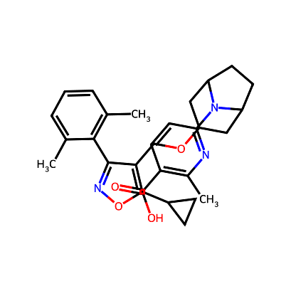 Cc1cccc(C)c1-c1noc(C2CC2)c1COC1CC2CCC(C1)N2c1ccc(C(=O)O)c(C)n1